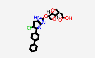 O=C(O)C[C@@H]1CO[C@H]2[C@@H]1OC[C@H]2Oc1nc2nc(-c3ccc(-c4ccccc4)cc3)c(Cl)cc2[nH]1